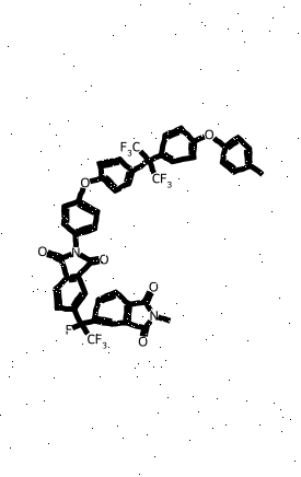 Cc1ccc(Oc2ccc(C(c3ccc(Oc4ccc(N5C(=O)c6ccc(C(F)(c7ccc8c(c7)C(=O)N(C)C8=O)C(F)(F)F)cc6C5=O)cc4)cc3)(C(F)(F)F)C(F)(F)F)cc2)cc1